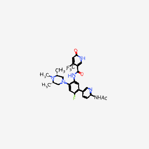 CC(=O)Nc1ccc(-c2cc(NC(=O)c3c[nH]c(=O)cc3C(F)(F)F)c(N3C[C@@H](C)N(C)[C@@H](C)C3)cc2F)cn1